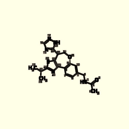 CC(=O)NCc1ccc2c(c1)OCC(c1ncn[nH]1)c1sc(C(C)C)nc1-2